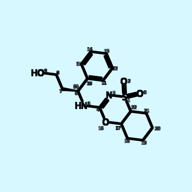 O=S1(=O)N=C(N[C@@H](CCO)c2ccccc2)OC2CCCCC21